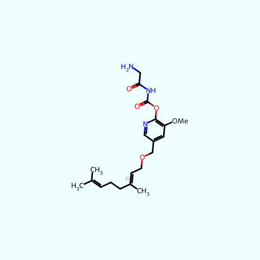 COc1cc(COC/C=C(\C)CCC=C(C)C)cnc1OC(=O)NC(=O)CN